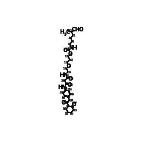 CC(C=O)CCCCNC(=O)OCCCOCCNC(=O)CC(=O)Nc1ccc(CC(=O)C2CCCCC2=O)cc1